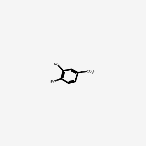 CC(=O)c1cc(C(=O)O)ccc1C(C)C